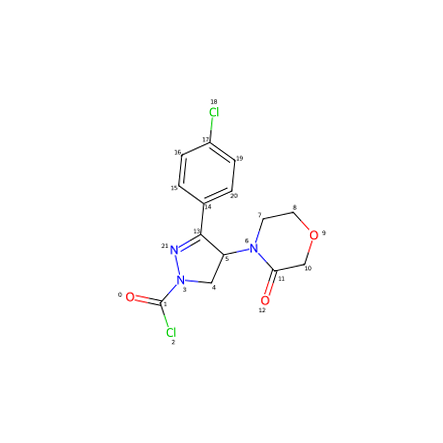 O=C(Cl)N1CC(N2CCOCC2=O)C(c2ccc(Cl)cc2)=N1